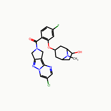 CN1C2CC(Oc3cc(F)ccc3C(=O)N3Cc4nn5cc(Cl)cnc5c4C3)CC1C(O)C2